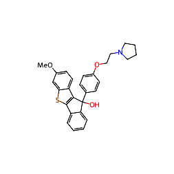 COc1ccc2c3c(sc2c1)-c1ccccc1C3(O)c1ccc(OCCN2CCCC2)cc1